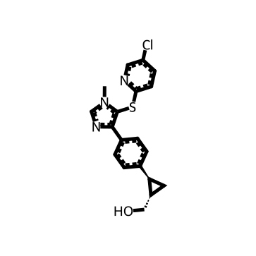 Cn1cnc(-c2ccc([C@H]3C[C@@H]3CO)cc2)c1Sc1ccc(Cl)cn1